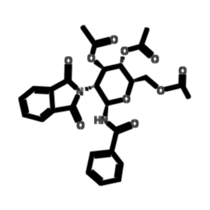 CC(=O)OC[C@H]1O[C@@H](NC(=O)c2ccccc2)[C@H](N2C(=O)c3ccccc3C2=O)[C@@H](OC(C)=O)[C@@H]1OC(C)=O